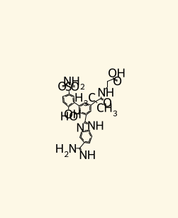 CC(C)(C(=O)NCCC(=O)O)c1cc(-c2nc3cc(C(=N)N)ccc3[nH]2)c(O)c(-c2cc(S(N)(=O)=O)ccc2O)c1